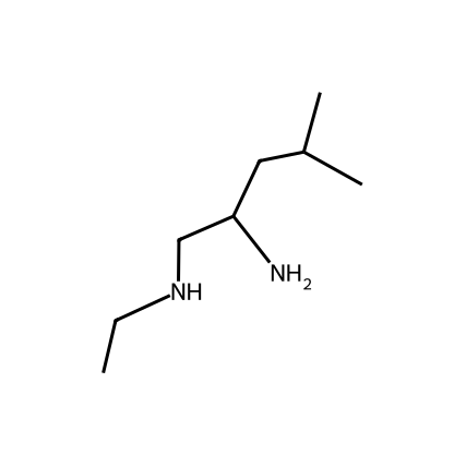 CCNCC(N)CC(C)C